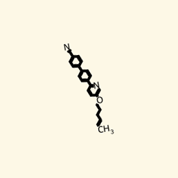 CC=CCCCOc1ccc(-c2ccc(-c3ccc(C#N)cc3)cc2)nc1